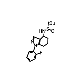 CC(C)(C)[S@+]([O-])N[C@@H]1CCCc2c1cnn2-c1ccccc1F